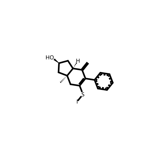 C=C1C(c2ccccc2)=C(SI)C[C@@]2(C)C[C@@H](O)C[C@@H]12